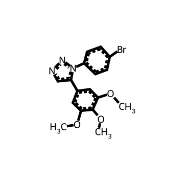 COc1cc(-c2cnnn2-c2ccc(Br)cc2)cc(OC)c1OC